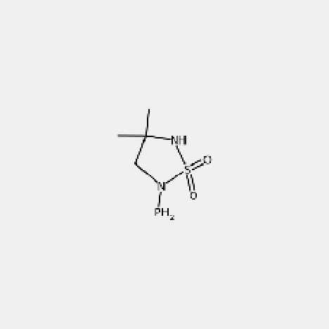 CC1(C)CN(P)S(=O)(=O)N1